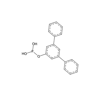 OP(O)Oc1cc(-c2ccccc2)cc(-c2ccccc2)c1